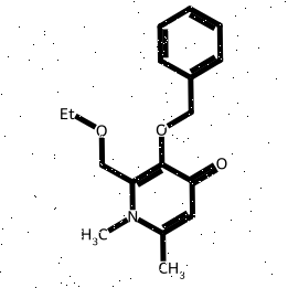 CCOCc1c(OCc2ccccc2)c(=O)cc(C)n1C